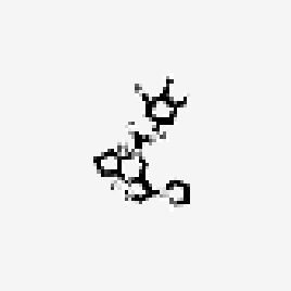 O=C(Nc1cc(F)c(F)c(F)c1)N1Cc2c(N3CCCS3)cnn2[C@H]2CCC[C@H]21